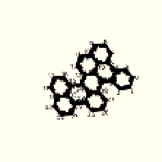 c1ccc2c(c1)c1cccc3ccc4c5c6cccc7cccc(c8cccc(c85)c2c4c31)c76